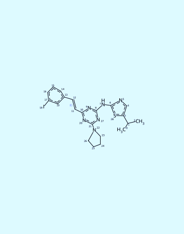 CC(C)c1cnc(Nc2nc(/C=C/c3cccc(I)c3)nc(N3CCCC3)n2)s1